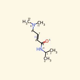 CC(C)NC(=O)/C=C/CN(C)C